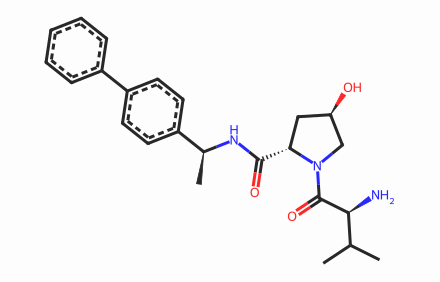 CC(C)[C@H](N)C(=O)N1C[C@H](O)C[C@H]1C(=O)N[C@@H](C)c1ccc(-c2ccccc2)cc1